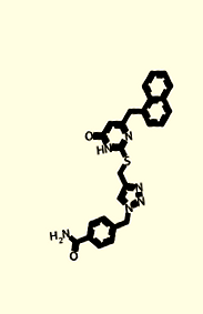 NC(=O)c1ccc(Cn2cc(CSc3nc(Cc4cccc5ccccc45)cc(=O)[nH]3)nn2)cc1